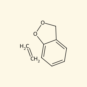 C=C.c1ccc2c(c1)COO2